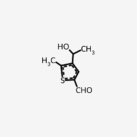 Cc1sc(C=O)cc1C(C)O